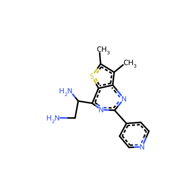 Cc1sc2c(C(N)CN)nc(-c3ccncc3)nc2c1C